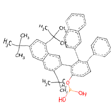 CC(C)(C)c1cc(C(C)(C)C)c2cc(-c3c(OP(O)O)ccc(-c4ccccc4)c3-c3ccc4ccccc4c3)c(C(C)(C)C)cc2c1